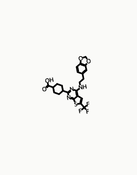 O=C(O)C1CCC(c2nc(NCCc3ccc4c(c3)OCO4)c3cc(C(F)(F)F)sc3n2)CC1